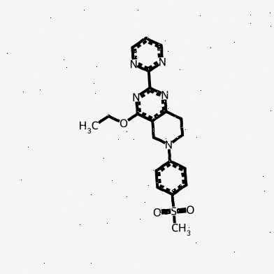 CCOc1nc(-c2ncccn2)nc2c1CN(c1ccc(S(C)(=O)=O)cc1)CC2